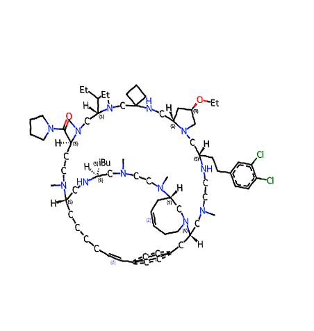 CCO[C@@H]1C[C@H]2CNC3(CCC3)CN(C)[C@@H](C(CC)CC)CN(C)[C@H](C(=O)N3CCCC3)CCN(C)[C@H]3CCCC/C=C\c4ccc(cc4)C[C@@H](CN(C)CCN[C@@H](CCc4ccc(Cl)c(Cl)c4)CN2C1)N1CC/C=C\C[C@@H](C1)N(C)CCN(C)C[C@H]([C@@H](C)CC)NC3